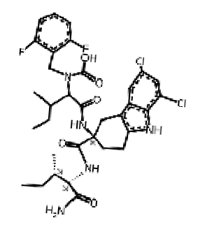 CCC(C)C(C(=O)N[C@]1(C(=O)N[C@H](C(N)=O)[C@@H](C)CC)CCc2[nH]c3c(Cl)cc(Cl)cc3c2C1)N(Cc1c(F)cccc1F)C(=O)O